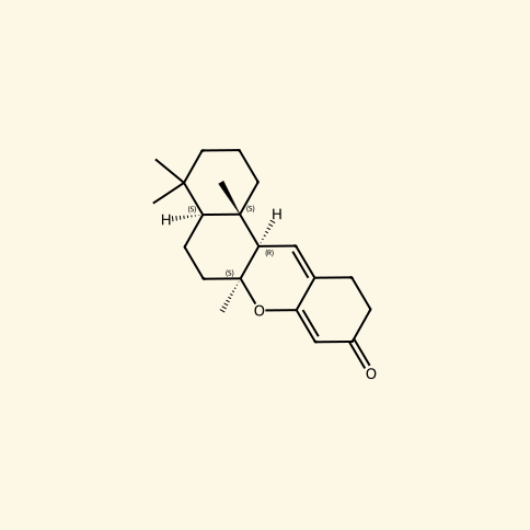 CC1(C)CCC[C@]2(C)[C@H]3C=C4CCC(=O)C=C4O[C@@]3(C)CC[C@@H]12